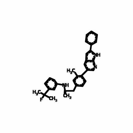 C=C(Cc1ccc(-c2cnc3[nH]c(-c4ccccc4)cc3c2)c(C)c1)Nc1cccc(C(C)(C)F)c1